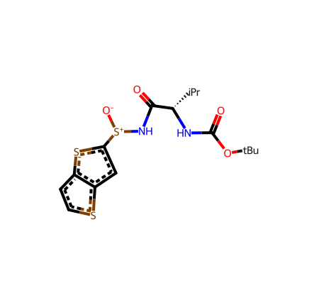 CC(C)[C@H](NC(=O)OC(C)(C)C)C(=O)N[S+]([O-])c1cc2sccc2s1